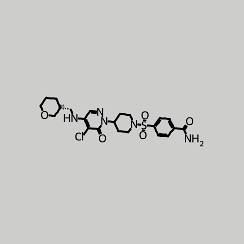 NC(=O)c1ccc(S(=O)(=O)N2CCC(n3ncc(NC[C@H]4CCCOC4)c(Cl)c3=O)CC2)cc1